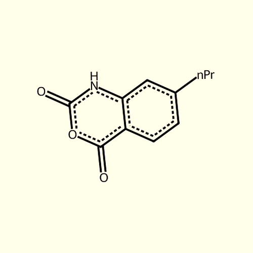 CCCc1ccc2c(=O)oc(=O)[nH]c2c1